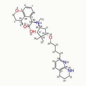 C[C@H]1CCOc2cccc([C@H](C(=O)O)N(C)[C@H]3C[C@H](OCCCCc4ccc5c(n4)NCCC5)C(C)(C)C3)c21